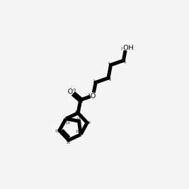 O=C(OCCCCO)C1CC2C=CC1C2